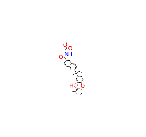 CCC(Oc1ccc(C(CC)(CC)c2ccc3cc(C(=O)NCC(=O)OC)ccc3c2)cc1C)C(O)=C(C)C